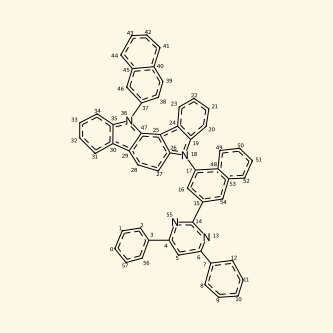 c1ccc(-c2cc(-c3ccccc3)nc(-c3cc(-n4c5ccccc5c5c4ccc4c6ccccc6n(-c6ccc7ccccc7c6)c45)c4ccccc4c3)n2)cc1